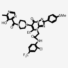 CCc1c(N2CCN(C(=O)c3ncnc(C)c3O)CC2)c(=O)n2nc(-c3ccc(SC)cc3)nc2n1CC(=O)Nc1ccc(C(F)(F)F)cc1Cl